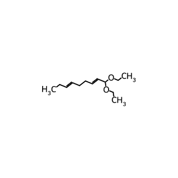 CCC=CCCC=CC(OCC)OCC